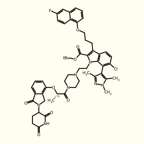 Cc1nn(C)c(C)c1-c1c(Cl)ccc2c(CCCOc3cccc4cc(F)ccc34)c(C(=O)OC(C)(C)C)n(CCN3CCN(C(=O)[C@H](C)Oc4cccc5c4CN(C4CCC(=O)NC4=O)C5=O)CC3)c12